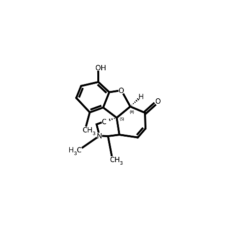 Cc1ccc(O)c2c1[C@]13CCN(C)C(C)C1C=CC(=O)[C@@H]3O2